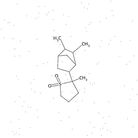 CC1C2CC(C1C)C(C1(C)CCCS1(=O)=O)C2